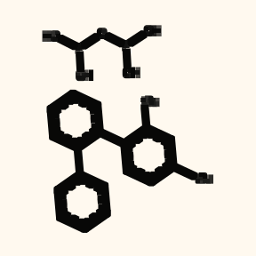 CC(C)(C)c1ccc(-c2ccccc2-c2ccccc2)c(C(C)(C)C)c1.OP(O)OP(O)O